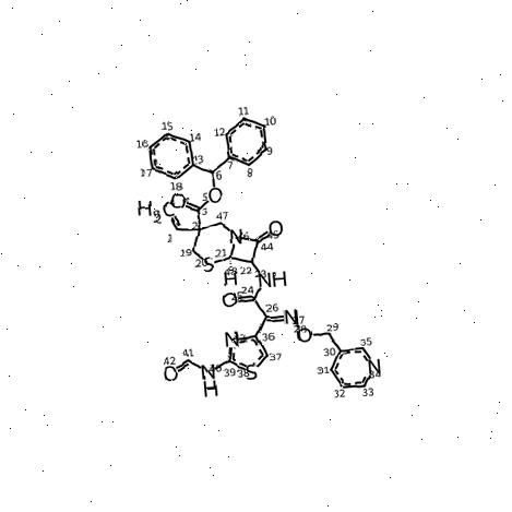 C=CC1(C(=O)OC(c2ccccc2)c2ccccc2)CS[C@@H]2C(NC(=O)C(=NOCc3cccnc3)c3csc(NC=O)n3)C(=O)N2C1